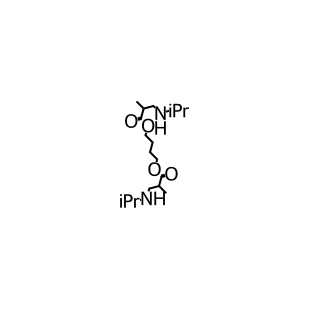 CC(C)NCC(C)C(=O)OCCCCOC(=O)C(C)CNC(C)C